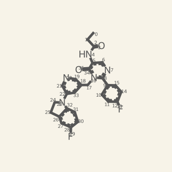 CCC(=O)Nc1cnc(-c2ccc(F)cc2)n(Cc2cncc(N3CCc4cc(F)ccc43)c2)c1=O